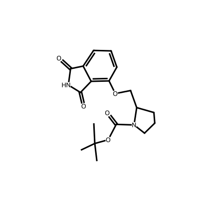 CC(C)(C)OC(=O)N1CCCC1COc1cccc2c1C(=O)NC2=O